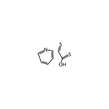 OC(=S)C=S.c1ccncc1